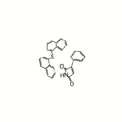 O=C1C=C(c2ccccc2)C(=O)N1.c1ccc2c(Sc3cccc4ccccc34)cccc2c1